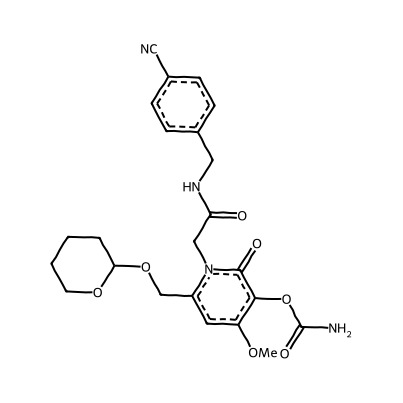 COc1cc(COC2CCCCO2)n(CC(=O)NCc2ccc(C#N)cc2)c(=O)c1OC(N)=O